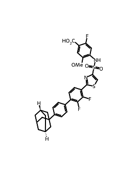 COc1cc(C(=O)O)c(F)cc1NS(=O)(=O)c1csc(-c2ccc(-c3ccc(C45CC6C[C@H](C4)C[C@H](C6)C5)cc3)c(F)c2F)n1